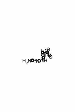 Nc1ccc(CCN2CCC(Nc3ccc4c(c3)Cc3cccc(-c5cc(N6CCOCC6)cc(=O)[nH]5)c3O4)CC2)cc1